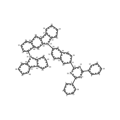 c1ccc(-c2nc(-c3ccccc3)nc(-c3ccc4cc(-n5c6ccccc6c6cc7cccc(-n8c9ccccc9c9ccccc98)c7cc65)ccc4c3)n2)cc1